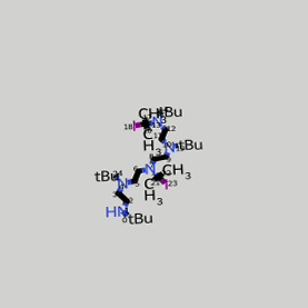 CC(C)(C)NCCN(CCN(CCN(CCN(C(C)(C)C)C(C)(C)I)C(C)(C)C)C(C)(C)I)C(C)(C)C